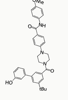 COc1ccc(NC(=O)c2ccc(N3CCN(C(=O)c4cc(-c5cccc(O)c5)cc(C(C)(C)C)c4)CC3)cc2)cc1